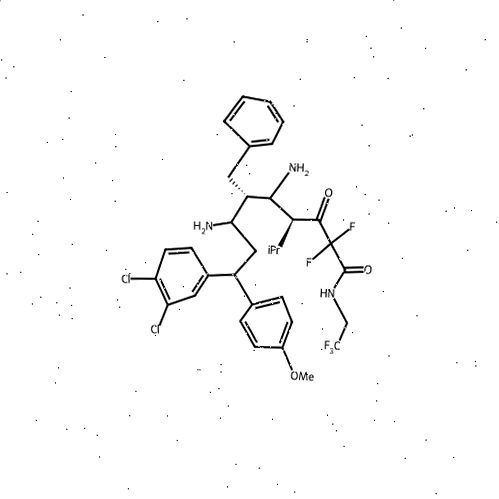 COc1ccc(C(CC(N)[C@H](Cc2ccccc2)C(N)[C@@H](C(=O)C(F)(F)C(=O)NCC(F)(F)F)C(C)C)c2ccc(Cl)c(Cl)c2)cc1